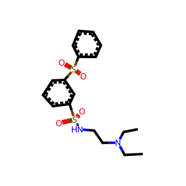 CCN(CC)CCNS(=O)(=O)c1cccc(S(=O)(=O)c2ccccc2)c1